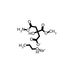 CCCO.COC(=O)C(O)(CC(=O)[O-])CC(=O)ON.[Na+]